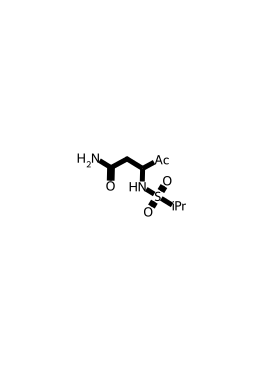 CC(=O)C(CC(N)=O)NS(=O)(=O)C(C)C